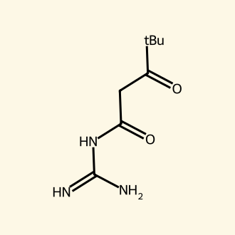 CC(C)(C)C(=O)CC(=O)NC(=N)N